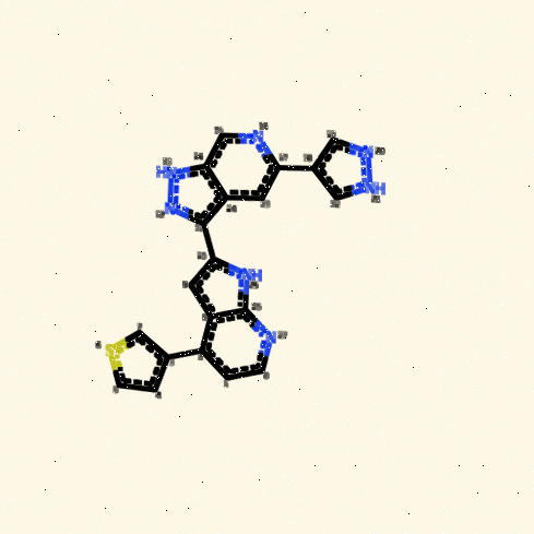 c1cc(-c2ccsc2)c2cc(-c3n[nH]c4cnc(-c5cn[nH]c5)cc34)[nH]c2n1